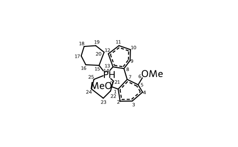 COc1cccc(OC)c1-c1ccccc1[PH]1(C2CCCCC2)CCCCC1